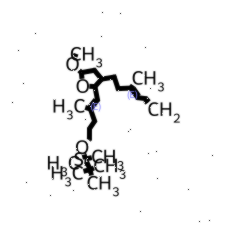 C=C/C=C(\C)CCC1CC(OC)OC1/C=C(\C)CCCO[Si](C)(C)C(C)(C)C